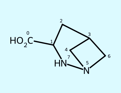 O=C(O)C1CC2CN(C2)N1